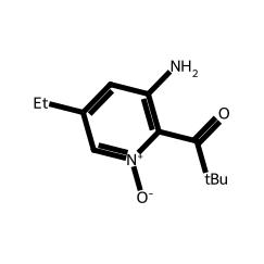 CCc1cc(N)c(C(=O)C(C)(C)C)[n+]([O-])c1